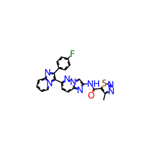 Cc1nnsc1C(=O)Nc1cn2nc(-c3c(-c4ccc(F)cc4)nc4ccccn34)ccc2n1